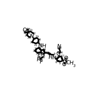 CS(=O)(=O)c1ccc(NCC#Cc2cc3c(NC4CCC(N5CCC6(CC5)COC6)CC4)cccc3n2CC(F)(F)F)c(OCC#N)c1